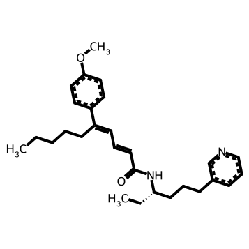 CCCCC/C(=C\C=C\C(=O)N[C@@H](CC)CCCc1cccnc1)c1ccc(OC)cc1